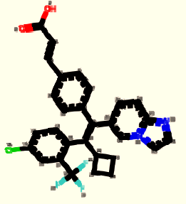 O=C(O)C=Cc1ccc(C(=C(c2ccc(Cl)cc2C(F)(F)F)C2CCC2)c2ccc3nccn3c2)cc1